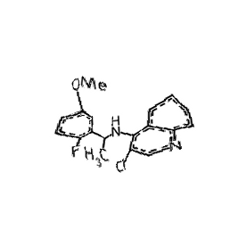 COc1ccc(F)c(C(C)Nc2c(Cl)cnc3ccccc23)c1